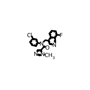 Cn1cncc1C(=O)N(Cc1cncc2c(F)cccc12)c1cccc(Cl)c1